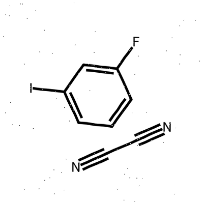 Fc1cccc(I)c1.N#CC#N